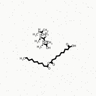 CCCCCCCCCC(=O)OC(=O)CCCCCCCCC(=O)O.CNC(C)O.CNC(C)O.CNC(C)O